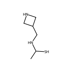 CC(S)NCC1CNC1